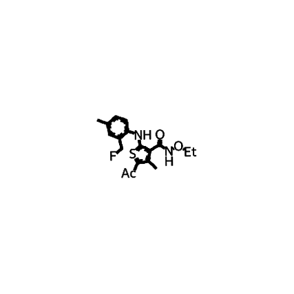 CCONC(=O)c1c(Nc2ccc(C)cc2CF)sc(C(C)=O)c1C